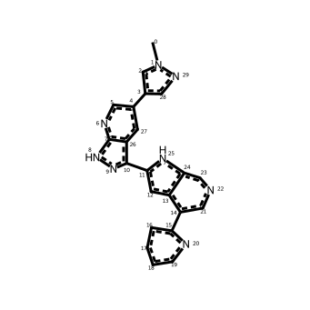 Cn1cc(-c2cnc3[nH]nc(-c4cc5c(-c6ccccn6)cncc5[nH]4)c3c2)cn1